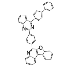 c1ccc(-c2ccc(-c3nc(-c4ccc(-c5nc6ccccc6c6c5oc5ccccc56)cc4)nc4ccccc34)cc2)cc1